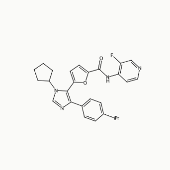 CC(C)c1ccc(-c2ncn(C3CCCC3)c2-c2ccc(C(=O)Nc3ccncc3F)o2)cc1